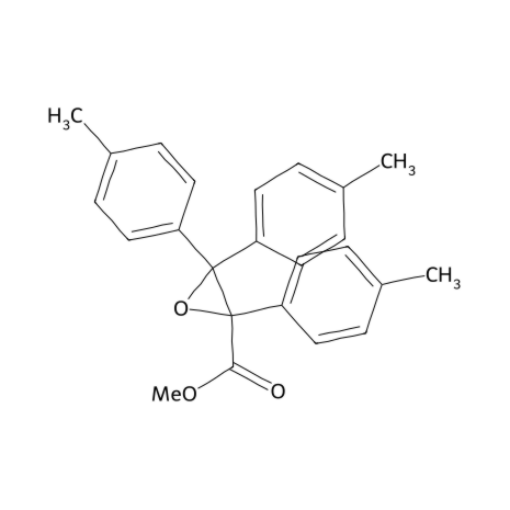 COC(=O)C1(c2ccc(C)cc2)OC1(c1ccc(C)cc1)c1ccc(C)cc1